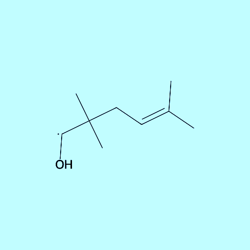 CC(C)=CCC(C)(C)[CH]O